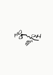 CCC(O)CCCCC(=O)O.[RbH]